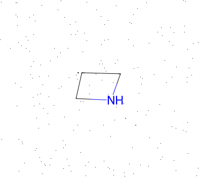 [CH]1CNC1